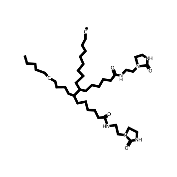 CCCCCCCCCCC(CCCCCC(=O)NCCN1CCNC1=O)C(CCCCCCCCCC)CCCCCC(=O)NCCN1CCNC1=O